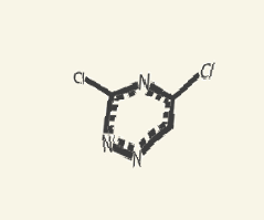 Clc1cnnc(Cl)n1